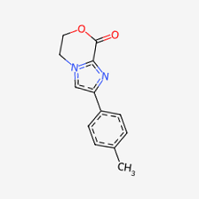 Cc1ccc(-c2cn3c(n2)C(=O)OCC3)cc1